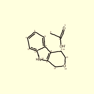 CC(=O)O.c1ccc2c3c([nH]c2c1)COCC3